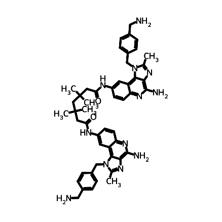 Cc1nc2c(N)nc3ccc(NC(=O)CC(C)(C)CC(C)(C)CC(=O)Nc4ccc5nc(N)c6nc(C)n(Cc7ccc(CN)cc7)c6c5c4)cc3c2n1Cc1ccc(CN)cc1